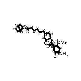 COc1cc(N)c(Cl)cc1C(=O)N[C@H]1CCN(CCCCCC(=O)OC2CN3CCC2CC3)C[C@H]1OC